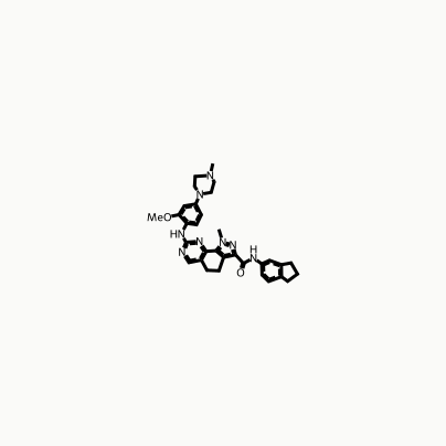 COc1cc(N2CCN(C)CC2)ccc1Nc1ncc2c(n1)-c1c(c(C(=O)Nc3ccc4c(c3)CCC4)nn1C)CC2